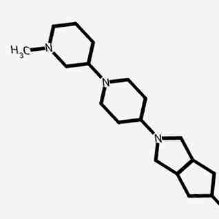 CC(C)C1CC2CN(C3CCN(C4CCCN(C)C4)CC3)CC2C1